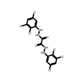 O=C(NNc1cc(Cl)cc(Cl)c1Cl)C(=O)NNc1cc(Cl)cc(Cl)c1Cl